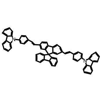 C(=C\c1ccc2c(c1)C1(c3ccccc3-c3ccccc31)c1cc(/C=C/c3ccc(-n4c5ccccc5c5ccccc54)cc3)ccc1-2)/c1ccc(-n2c3ccccc3c3ccccc32)cc1